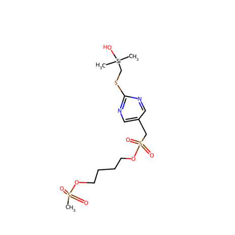 C[Si](C)(O)CSc1ncc(CS(=O)(=O)OCCCCOS(C)(=O)=O)cn1